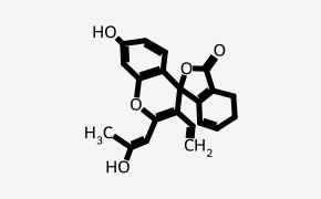 C=CC1=C(/C=C(\C)O)Oc2cc(O)ccc2C12OC(=O)C1=C2C=CCC1